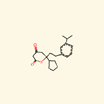 CC(C)c1[c]ccc(CCC2(C3CCCC3)CC(=O)CC(=O)O2)c1